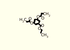 C=CC(=O)Oc1cc(OC(=O)C=C)cc(C(=O)OCCC)c1